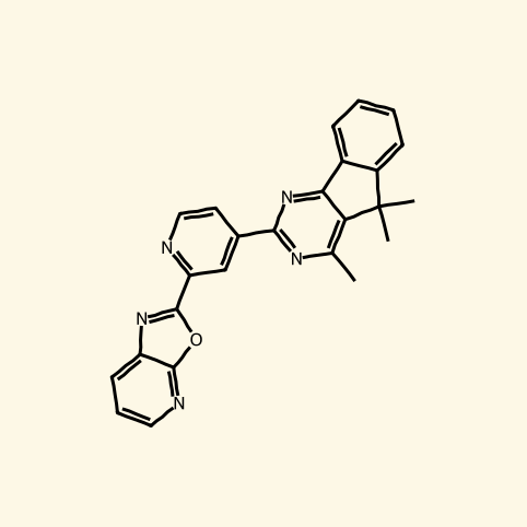 Cc1nc(-c2ccnc(-c3nc4cccnc4o3)c2)nc2c1C(C)(C)c1ccccc1-2